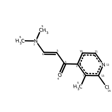 Cc1c(C(=O)C=CN(C)C)ccnc1Cl